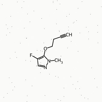 C#CCCOc1c(F)[c]nn1C